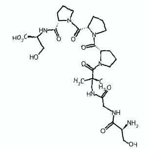 CC(C)(NC(=O)CNC(=O)[C@@H](N)CO)C(=O)N1CCC[C@H]1C(=O)N1CCC[C@H]1C(=O)N1CCC[C@H]1C(=O)N[C@@H](CO)C(=O)O